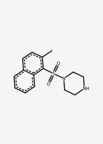 O=S(=O)(c1c(I)ccc2ccccc12)N1CCNCC1